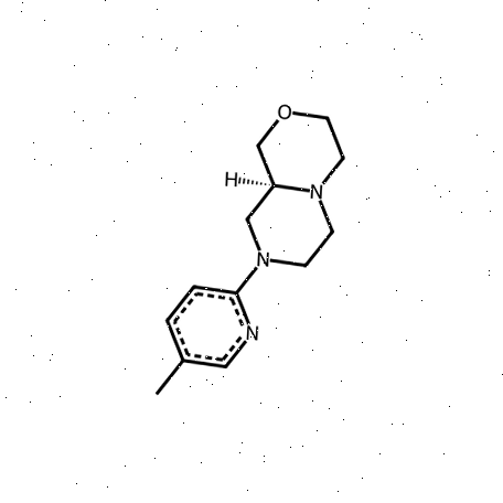 Cc1ccc(N2CCN3CCOC[C@@H]3C2)nc1